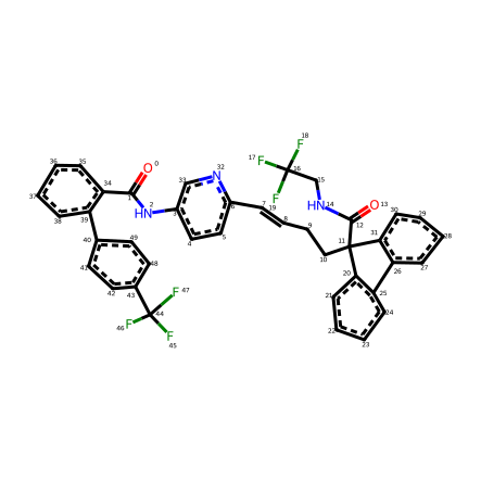 O=C(Nc1ccc(C=CCCC2(C(=O)NCC(F)(F)F)c3ccccc3-c3ccccc32)nc1)c1ccccc1-c1ccc(C(F)(F)F)cc1